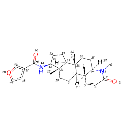 CN1C(=O)C=C[C@]2(C)[C@H]3CC[C@]4(C)[C@@H](NC(=O)c5ccoc5)CC[C@H]4[C@@H]3CC[C@@H]12